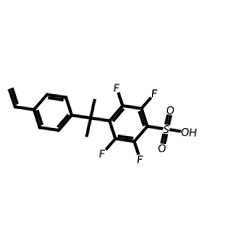 C=Cc1ccc(C(C)(C)c2c(F)c(F)c(S(=O)(=O)O)c(F)c2F)cc1